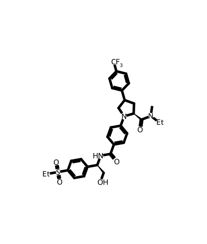 CCN(C)C(=O)[C@@H]1CC(c2ccc(C(F)(F)F)cc2)CN1c1ccc(C(=O)N[C@@H](CO)c2ccc(S(=O)(=O)CC)cc2)cc1